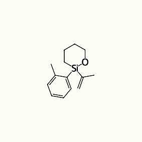 C=C(C)[Si]1(c2ccccc2C)CCCCO1